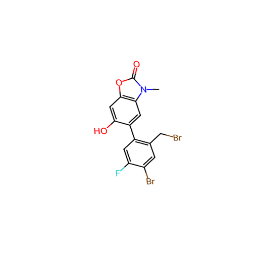 Cn1c(=O)oc2cc(O)c(-c3cc(F)c(Br)cc3CBr)cc21